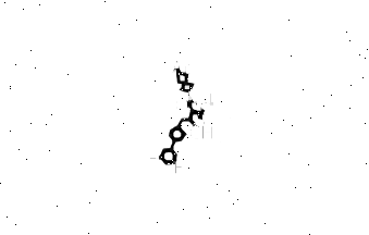 CC(=O)C1CC2(CC(NC(=O)c3c(C)sc(C)c3Cc3ccc(-c4cc(F)cc(F)c4)cc3)C2)C1